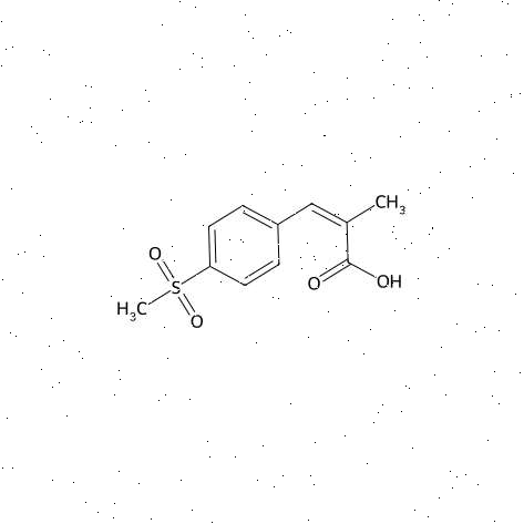 CC(=Cc1ccc(S(C)(=O)=O)cc1)C(=O)O